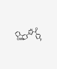 COc1ccccc1-c1cccc(-n2cnc(C(=O)c3ccc(F)cc3)c2)c1